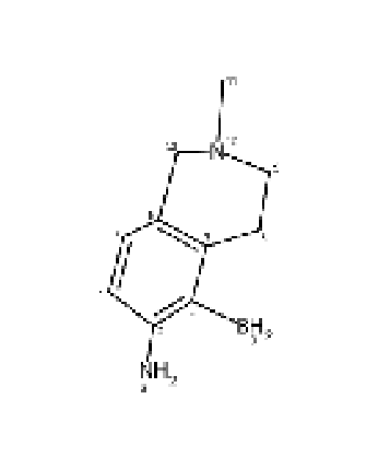 Bc1c(N)ccc2c1CCN(C)C2